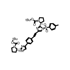 Cc1ccc(S(=O)(=O)n2cc(C#Cc3ccc(-c4c[nH]c([C@@H]5CCCN5C(=O)OC(C)(C)C)n4)cc3)nc2[C@@H]2CCCN2C(=O)OC(C)(C)C)cc1